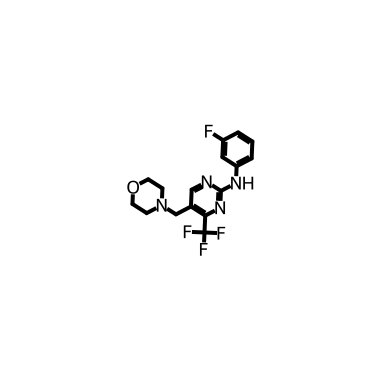 Fc1cccc(Nc2ncc(CN3CCOCC3)c(C(F)(F)F)n2)c1